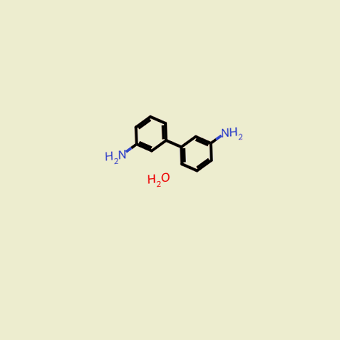 Nc1cccc(-c2cccc(N)c2)c1.O